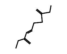 C=C(/C=C/CCC(=C)CC)CC